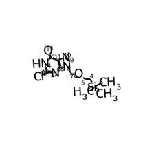 C[Si](C)(C)CCOCn1cnc2c(=O)[nH]c(Cl)nc21